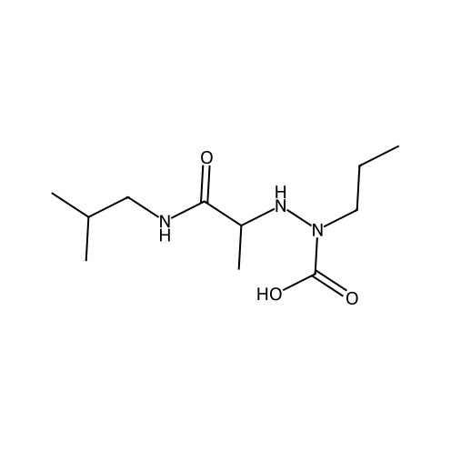 CCCN(NC(C)C(=O)NCC(C)C)C(=O)O